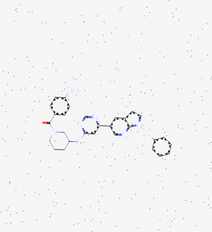 Nc1ccc(C(=O)N2CCCC(Nc3cc(-c4cnc5c(ccn5S(=O)(=O)c5ccccc5)c4)ncn3)C2)cc1